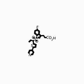 C=CC(c1ccc(-c2ccncc2)s1)S(=O)(=O)n1cc(CCC(=O)O)c2cc(F)ccc21